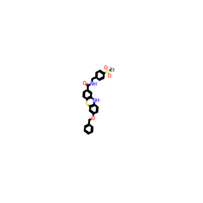 CCS(=O)(=O)c1ccc(CNC(=O)c2ccc3c(c2)Nc2ccc(OCc4ccccc4)cc2S3)cc1